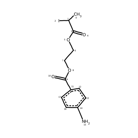 CC(I)C(=O)OCCOC(=O)c1ccc(N)cc1